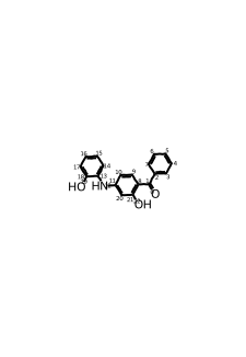 O=C(c1ccccc1)c1ccc(Nc2ccccc2O)cc1O